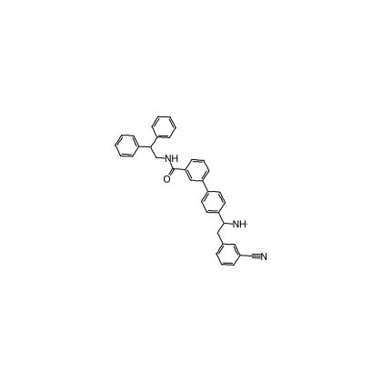 N#Cc1cccc(CC([NH])c2ccc(-c3cccc(C(=O)NCC(c4ccccc4)c4ccccc4)c3)cc2)c1